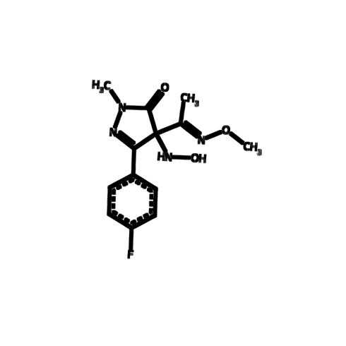 CO/N=C(\C)C1(NO)C(=O)N(C)N=C1c1ccc(F)cc1